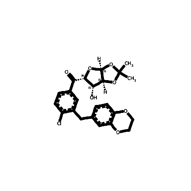 CC1(C)O[C@@H]2O[C@@H](C(=O)c3ccc(Cl)c(Cc4ccc5c(c4)OCCO5)c3)[C@@H](O)[C@@H]2O1